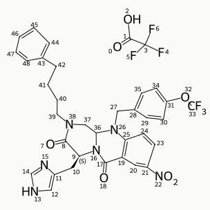 O=C(O)C(F)(F)F.O=C1[C@H](Cc2c[nH]cn2)N2C(=O)c3cc([N+](=O)[O-])ccc3N(Cc3ccc(OC(F)(F)F)cc3)C2CN1CCCCc1ccccc1